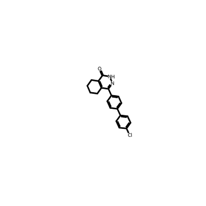 O=c1[nH]nc(-c2ccc(-c3ccc(Cl)cc3)cc2)c2c1CCCC2